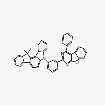 CC1(C)c2ccccc2-c2ccc3c(c21)c1ccccc1n3-c1cccc(-c2nc(-c3ccccc3)c3c(n2)oc2ccccc23)c1